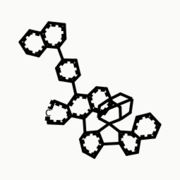 c1cc2c(c(-c3c4ccccc4c(-c4ccc(-c5cccc6ccccc56)cc4)c4ccccc34)c1)C1(c3c-2ccc2ccccc32)C2CC3CC(C2)CC1C3